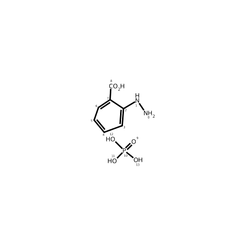 NNc1ccccc1C(=O)O.O=P(O)(O)O